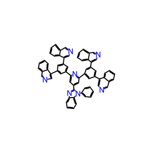 c1ccc(-n2c(-c3cc(-c4cc(-c5cncc6ccccc56)cc(-c5cncc6ccccc56)c4)nc(-c4cc(-c5cncc6ccccc56)cc(-c5cncc6ccccc56)c4)c3)nc3ccccc32)cc1